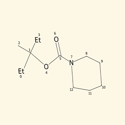 CCC(C)(CC)OC(=O)N1CCCCC1